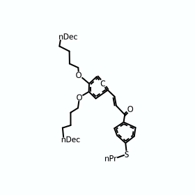 CCCCCCCCCCCCCCOc1ccc(C=CC(=O)c2ccc(SCCC)cc2)cc1OCCCCCCCCCCCCCC